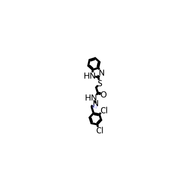 O=C(CSc1nc2ccccc2[nH]1)N/N=C/c1ccc(Cl)cc1Cl